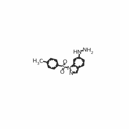 Cc1ccc(S(=O)(=O)n2ncc3ccc(NN)cc32)cc1